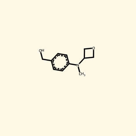 CN(c1ccc(CO)cc1)C1COC1